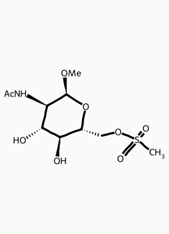 CO[C@H]1O[C@H](COS(C)(=O)=O)[C@@H](O)[C@H](O)[C@H]1NC(C)=O